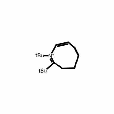 CC(C)(C)/C1=[N+](C(C)(C)C)/C=C\CCCC1